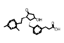 Cc1ccc(CC[C@H]2C(=O)CC(O)[C@@H]2Cc2cccc(CCC(=O)O)c2)c(C)c1